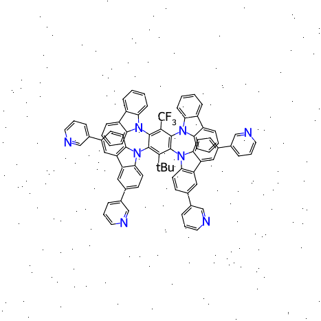 CC(C)(C)c1c(-n2c3ccc(-c4cccnc4)cc3c3cc(-c4cccnc4)ccc32)c(-n2c3ccccc3c3ccccc32)c(C(F)(F)F)c(-n2c3ccccc3c3ccccc32)c1-n1c2ccc(-c3cccnc3)cc2c2cc(-c3cccnc3)ccc21